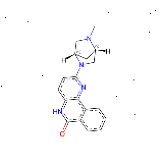 CN1C[C@@H]2C[C@H]1CN2c1ccc2[nH]c(=O)c3ccccc3c2n1